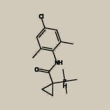 Cc1cc(Cl)cc(C)c1NC(=O)C1([PH](C)(C)C)CC1